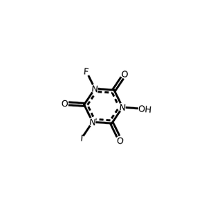 O=c1n(O)c(=O)n(I)c(=O)n1F